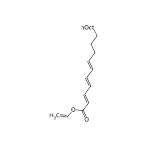 C=COC(=O)C=CC=CC=CCCCCCCCCCCC